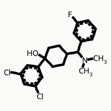 CN(C)C(c1cccc(F)c1)C1CCC(O)(c2cc(Cl)cc(Cl)c2)CC1